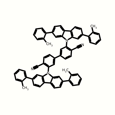 Cc1ccccc1-c1ccc2c3ccc(-c4ccccc4C)cc3n(-c3cc(-c4ccc(C#N)c(-n5c6cc(-c7ccccc7C)ccc6c6ccc(-c7ccccc7C)cc65)c4)ccc3C#N)c2c1